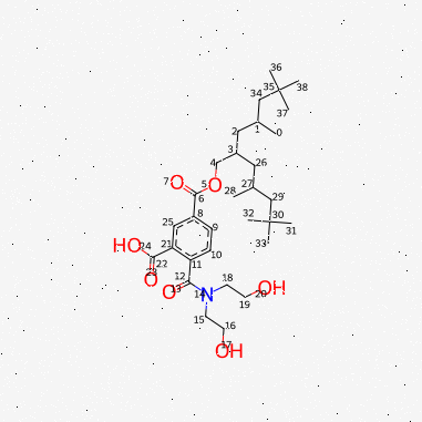 CC(CC(COC(=O)c1ccc(C(=O)N(CCO)CCO)c(C(=O)O)c1)CC(C)CC(C)(C)C)CC(C)(C)C